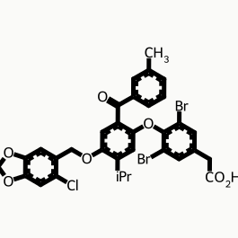 Cc1cccc(C(=O)c2cc(OCc3cc4c(cc3Cl)OCO4)c(C(C)C)cc2Oc2c(Br)cc(CC(=O)O)cc2Br)c1